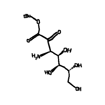 CC(C)(C)OC(=O)C(=O)[C@H](N)[C@@H](O)[C@H](O)[C@H](O)CO